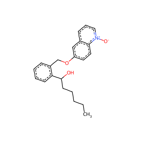 CCCCCC(O)c1ccccc1COc1ccc2c(ccc[n+]2[O-])c1